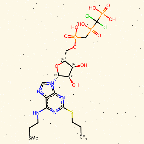 CSCCNc1nc(SCCC(F)(F)F)nc2c1ncn2[C@@H]1O[C@H](COP(=O)(O)CP(=O)(O)C(Cl)(Cl)P(=O)(O)O)[C@@H](O)[C@H]1O